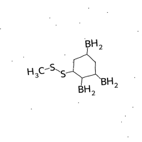 BC1CC(B)C(B)C(SSC)C1